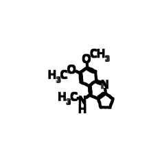 CNc1c2c(nc3cc(OC)c(OC)cc13)CCC2